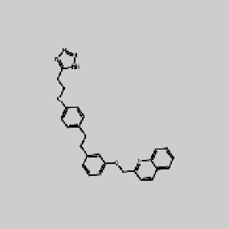 c1cc(CCc2ccc(OCCc3nnn[nH]3)cc2)cc(OCc2ccc3ccccc3n2)c1